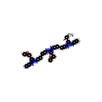 Cc1ccc(C#N)cc1-c1cc2c3c(c1)n1c4cc5cc(-c6ccc7cc8nc9n(c8cc7c6)c6cc(-c7cccc8c7oc7ccccc78)cc7c6n9c6nc8cc9ccc(-c%10ccc%11cc%12nc%13n(c%12cc%11c%10)c%10cc(-c%11ccc%12oc%14ccccc%14c%12c%11)cc%11c%10n%13c%10nc%12cc%13ccccc%13cc%12n%11%10)cc9cc8n76)ccc5cc4nc1n3c1nc3cc4ccccc4cc3n21